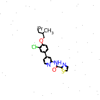 CC(C)CC(C)COc1ccc(-c2ccnc(NC(=O)c3nccs3)c2)cc1Cl